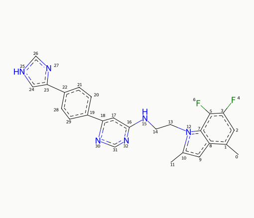 Cc1cc(F)c(F)c2c1cc(C)n2CCNc1cc(-c2ccc(-c3c[nH]cn3)cc2)ncn1